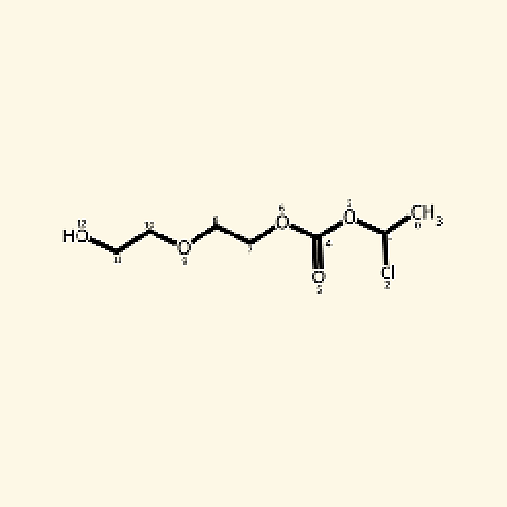 CC(Cl)OC(=O)OCCOCCO